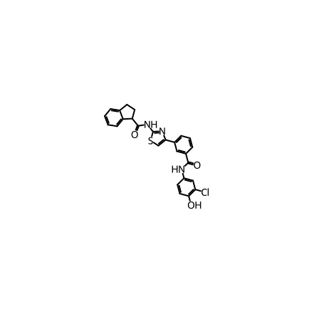 O=C(Nc1ccc(O)c(Cl)c1)c1cccc(-c2csc(NC(=O)C3CCc4ccccc43)n2)c1